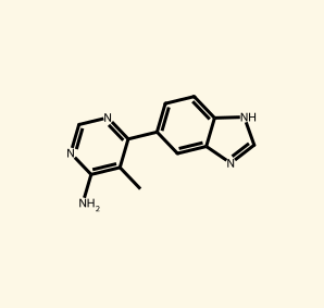 Cc1c(N)ncnc1-c1ccc2[nH]cnc2c1